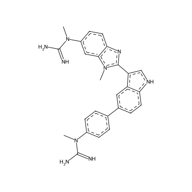 CN(C(=N)N)c1ccc(-c2ccc3[nH]cc(-c4nc5ccc(N(C)C(=N)N)cc5n4C)c3c2)cc1